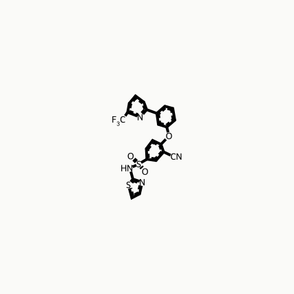 N#Cc1cc(S(=O)(=O)Nc2nccs2)ccc1Oc1cccc(-c2cccc(C(F)(F)F)n2)c1